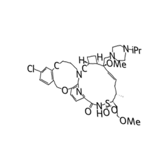 COCC[C@@H]1[C@@H](C)C/C=C/[C@](CN2CCN(C(C)C)CC2)(OC)[C@@H]2CC[C@H]2CN2CCCCc3cc(Cl)ccc3COc3ccc(nc32)C(=O)NS1(=O)=O